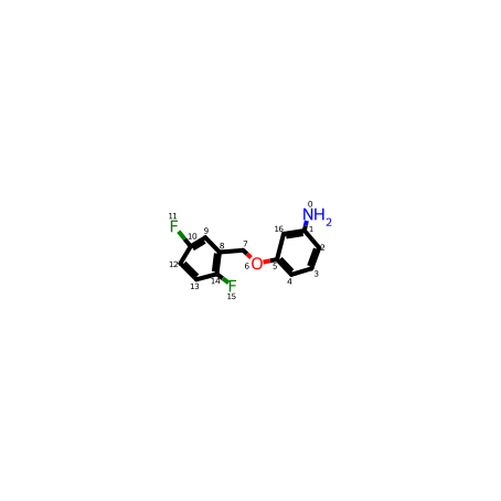 Nc1cccc(OCc2cc(F)ccc2F)c1